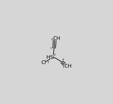 C#C[SiH](Cl)C#C